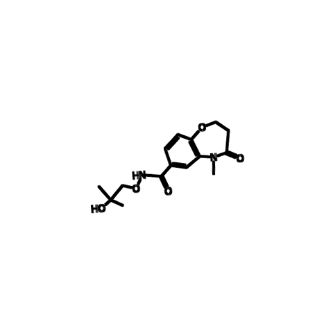 CN1C(=O)CCOc2ccc(C(=O)NOCC(C)(C)O)cc21